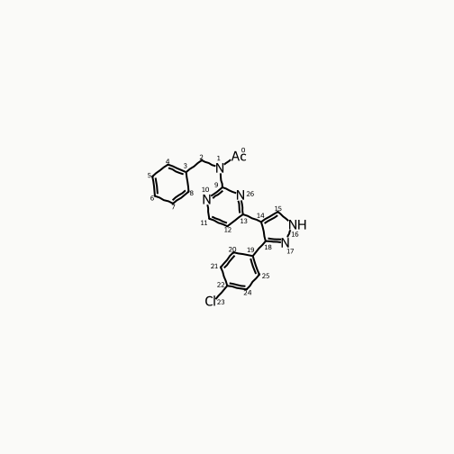 CC(=O)N(Cc1ccccc1)c1nccc(-c2c[nH]nc2-c2ccc(Cl)cc2)n1